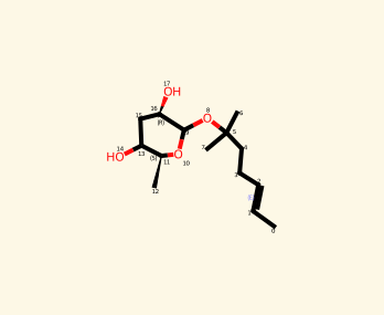 C/C=C/CCC(C)(C)OC1O[C@@H](C)C(O)C[C@H]1O